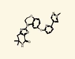 Cn1cc(-c2cccc(Oc3ccc4c(c3)N(c3nc5c(s3)C(=O)NC(C)(C)C5)CCO4)n2)cn1